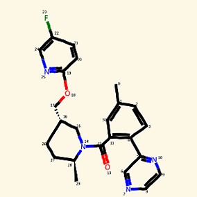 Cc1ccc(-c2cnccn2)c(C(=O)N2C[C@@H](COc3ccc(F)cn3)CC[C@@H]2C)c1